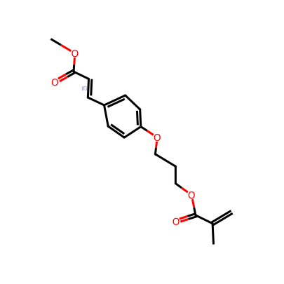 C=C(C)C(=O)OCCCOc1ccc(/C=C/C(=O)OC)cc1